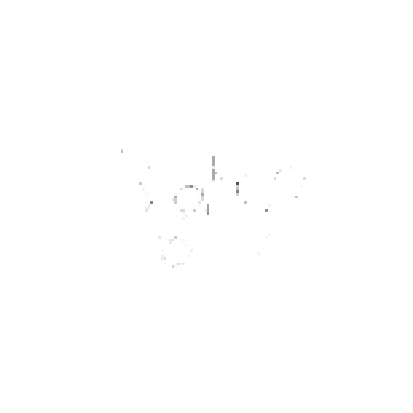 COCC[C@@H]1CCCN1CC(=O)Nc1nc(-c2ccco2)c(C(=O)C2CCOCC2)s1